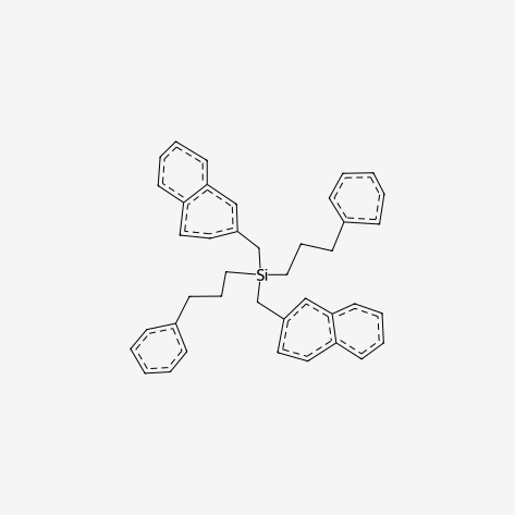 c1ccc(CCC[Si](CCCc2ccccc2)(Cc2ccc3ccccc3c2)Cc2ccc3ccccc3c2)cc1